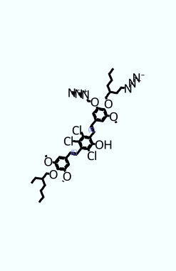 CCCCC(CC)COc1c(OC)cc(/C=C/c2c(Cl)c(O)c(/C=C/c3cc(OC)c(OCC(CCCC)CCN=[N+]=[N-])c(OCN=[N+]=[N-])c3)c(Cl)c2Cl)cc1OC